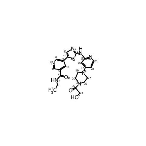 O=C(NCC(F)(F)F)c1cncc(-c2cnc(Nc3cc(N4CCN(C(=O)CO)CC4)ccn3)s2)c1